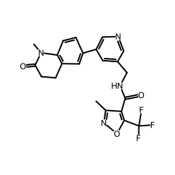 Cc1noc(C(F)(F)F)c1C(=O)NCc1cncc(-c2ccc3c(c2)CCC(=O)N3C)c1